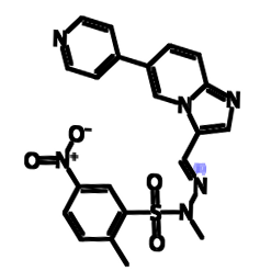 Cc1ccc([N+](=O)[O-])cc1S(=O)(=O)N(C)/N=C/c1cnc2ccc(-c3ccncc3)cn12